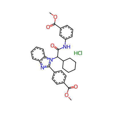 COC(=O)c1ccc(-c2nc3ccccc3n2C(C(=O)Nc2cccc(C(=O)OC)c2)C2CCCCC2)cc1.Cl